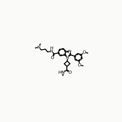 CNC(=O)C1CC(n2c(-c3cc(OC)cc(OC)c3)nc3ccc(C(=O)NCCCN(C)C)cc32)C1